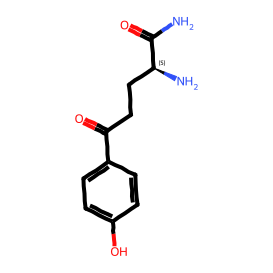 NC(=O)[C@@H](N)CCC(=O)c1ccc(O)cc1